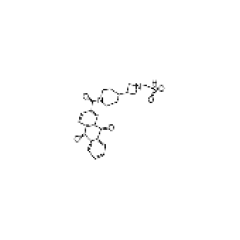 O=C1c2ccccc2C(=O)c2cc(C(=O)N3CCC(C4CN(C[SH](=O)=O)C4)CC3)ccc21